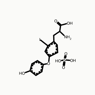 NC(Cc1ccc(Oc2ccc(O)cc2)cc1I)C(=O)O.O=S(=O)(O)O